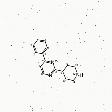 c1ccc(-c2ccnc(C3CCNCC3)n2)cc1